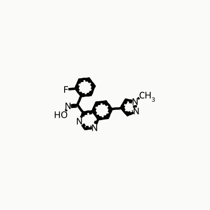 Cn1cc(-c2ccc3c(/C(=N\O)c4ccccc4F)ncnc3c2)cn1